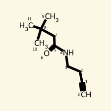 C#CCCNC(=O)CC(C)(C)C